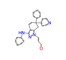 O=CC=Cn1nc(Nc2ccccc2)c2c1CC(c1ccccc1)(c1ccncc1)C=C2